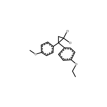 CCOc1ccc(C2(c3ccc(OC)cc3)CC2(Cl)Cl)cc1